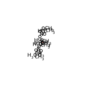 CC(C)(C)c1cccc2c1oc1c(N(c3ccccc3)c3ccc4cc5c(cc4c3)C([Si](C)(C)C)([Si](C)(C)C)c3c-5c4ccccc4c4cc(N(c5ccccc5)c5cccc6c5oc5c(C(C)(C)C)cccc56)ccc34)cccc12